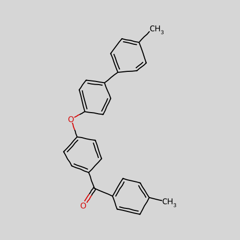 Cc1ccc(C(=O)c2ccc(Oc3ccc(-c4ccc(C)cc4)cc3)cc2)cc1